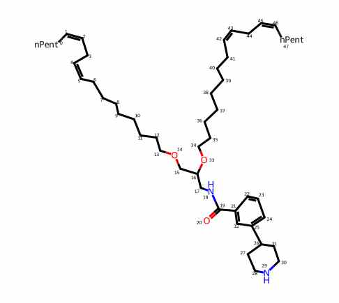 CCCCC/C=C\C/C=C\CCCCCCCCOCC(CNC(=O)c1cccc(C2CCNCC2)c1)OCCCCCCCC/C=C\C/C=C\CCCCC